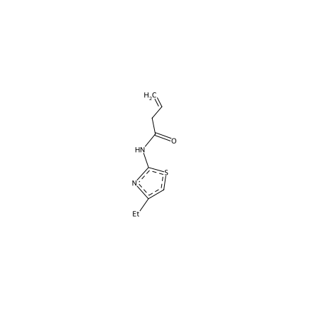 C=CCC(=O)Nc1nc(CC)cs1